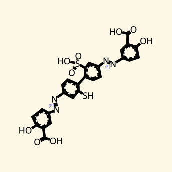 O=C(O)c1cc(/N=N/c2ccc(-c3ccc(/N=N/c4ccc(O)c(C(=O)O)c4)cc3S(=O)(=O)O)c(S)c2)ccc1O